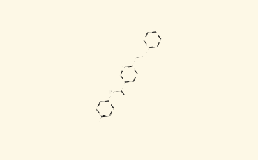 O=C(Nc1ccc(F)cc1)c1ccc(COc2ccccc2)nc1